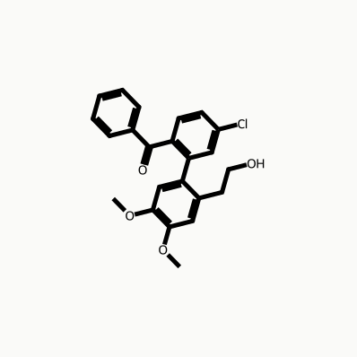 COc1cc(CCO)c(-c2cc(Cl)ccc2C(=O)c2ccccc2)cc1OC